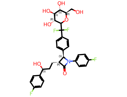 O=C1[C@H](CC[C@H](O)c2ccc(F)cc2)[C@@H](c2ccc(C(F)(F)C3O[C@H](CO)[C@@H](O)[C@H](O)[C@H]3O)cc2)N1c1ccc(F)cc1